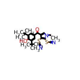 CCn1cc(C(=O)c2cc(C(C)(C)C)c(O)c(C(C)(C)C)c2)c(SC#N)c1SC#N